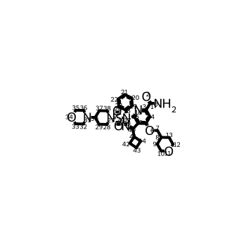 NC(=O)c1cc(OCC2CCOCC2)c2c(n1)[N+](c1ccccc1)(S(=O)(=O)N1CCC(N3CCOCC3)CC1)N=C2C1CCC1